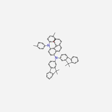 Cc1ccc(N(c2ccc(C)cc2)c2ccc(N(c3ccc4c(c3)C(C)(C)c3ccccc3-4)c3ccc4c(c3)C(C)(C)c3ccccc3-4)c3ccc4ccccc4c23)cc1